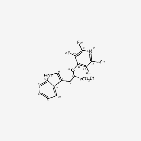 CCOC(=O)C(Cc1c[nH]c2ccccc12)Oc1c(F)c(F)nc(F)c1F